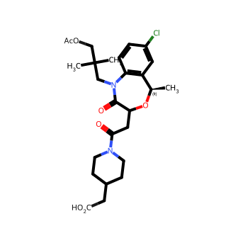 CC(=O)OCC(C)(C)CN1C(=O)C(CC(=O)N2CCC(CC(=O)O)CC2)O[C@H](C)c2cc(Cl)ccc21